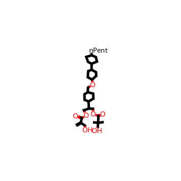 C=C(CO)C(=O)OCC(COC(=O)C(C)(C)CO)C1CCC(COC2CCC(C3CCC(CCCCC)CC3)CC2)CC1